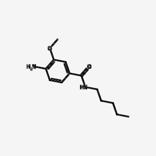 CCCCCNC(=O)c1ccc(N)c(OC)c1